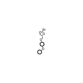 CC[C@@H]1OC[C@H](COc2ccc(Oc3ccccc3)cc2)O1